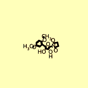 COc1ccc(OC)c(-c2oc(N3C(=O)CCC3=O)c(O)c2O)c1